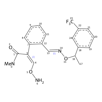 CNC(=O)/C(=C\ON)c1ccccc1/C=N/OC(C)c1cccc(C(F)(F)F)c1